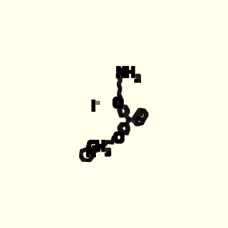 C[N+]1(CCCCCCOc2ccc(C(=C3C4CC5CC(C4)CC3C5)c3ccc(OCCCCCCN)cc3)cc2)CCCCCC1.[I-]